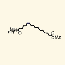 CCCNC(=O)CCCC/C=C\CCCCCCCCCC(=O)OC